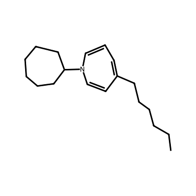 CCCCCCC1=CC=CN(C2CCCCCC2)C=C1